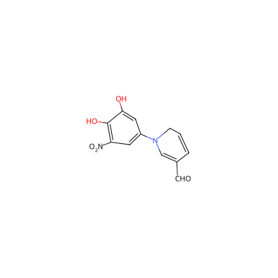 O=CC1=CN(c2cc(O)c(O)c([N+](=O)[O-])c2)CC=C1